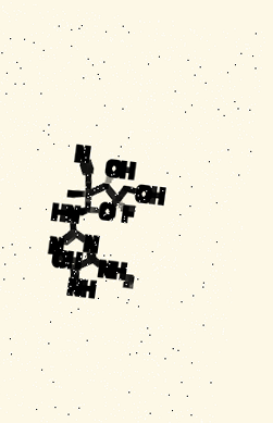 C[C@]1(C#N)[C@H](NC(=N/O)/N=C(/N)C=N)O[C@](F)(CO)[C@H]1O